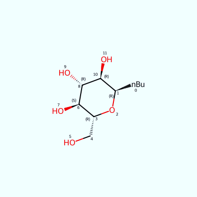 CCCC[C@H]1O[C@H](CO)[C@@H](O)[C@H](O)[C@H]1O